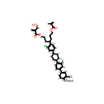 C=C(C)C(=O)OCCCC(CCCOC(=O)C(=C)CO)c1ccc(C2CCC(c3ccc(-c4ccc(CCCCC)c(CC)c4)cc3F)CC2)cc1F